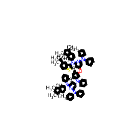 CC(C)(C)c1ccc2sc3c(c2c1)N(c1ccc2c(c1)C(C)(C)CC2(C)C)c1nc(N(c2ccccc2)c2ccccc2)cc2c1B3c1cc3c(cc1O2)N(c1ccccc1)c1cc(N(c2ccccc2)c2ccccc2)nc2c1B3c1ccccc1N2c1ccc2c(c1)C(C)(C)CC2(C)C